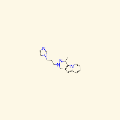 CC1=NN(CCCn2ccnc2)Cc2cc3ccccn3c21